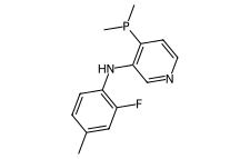 Cc1ccc(Nc2cnccc2P(C)C)c(F)c1